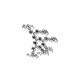 CC(C)(C)c1ccc(-c2nnc(-c3cc(-c4nnc(-c5ccc(C(C)(C)C)cc5)o4)cc(-c4nnc(-c5cc(-c6nnc(-c7cc(-c8nnc(-c9ccc(C(C)(C)C)cc9)o8)cc(-c8nnc(-c9ccc(C(C)(C)C)cc9)o8)c7)o6)cc(-c6nnc(-c7cc(-c8nnc(-c9ccc(C(C)(C)C)cc9)o8)cc(-c8nnc(-c9ccc(C(C)(C)C)cc9)o8)c7)o6)c5)o4)c3)o2)cc1